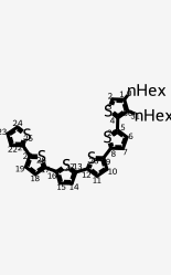 CCCCCCc1csc(-c2ccc(-c3ccc(-c4ccc(-c5ccc(-c6cccs6)s5)s4)s3)s2)c1CCCCCC